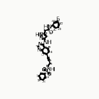 O=C(Cc1cc(Nc2ncnc3cc(C#CCCNS(=O)(=O)c4ccccc4)ccc23)n[nH]1)Nc1cccc(F)c1